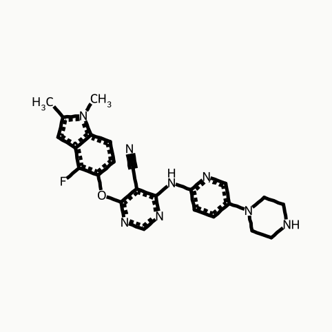 Cc1cc2c(F)c(Oc3ncnc(Nc4ccc(N5CCNCC5)cn4)c3C#N)ccc2n1C